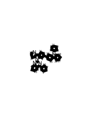 c1ccc(-c2nc(-n3c4cc(-c5ccc6c7ccccc7n(-c7ccccc7)c6c5)ccc4c4ncccc43)nc3ccccc23)cc1